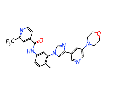 Cc1ccc(NC(=O)c2ccnc(C(F)(F)F)c2)cc1-n1cnc(-c2cncc(N3CCOCC3)c2)c1